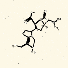 CCC1=C2SCC(C3=C(C(=O)O)N4C(=O)[C@H]([C@@H](C)O)[C@H]4C3)N2CN1C